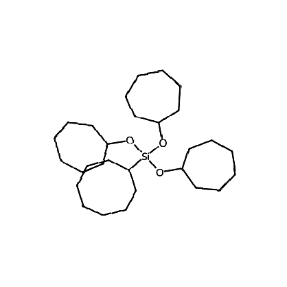 C1CCCC([Si](OC2CCCCCC2)(OC2CCCCCC2)OC2CCCCCC2)CCC1